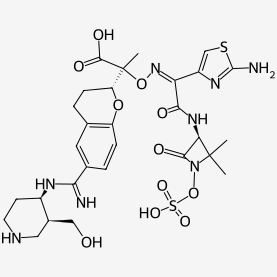 CC(O/N=C(\C(=O)N[C@@H]1C(=O)N(OS(=O)(=O)O)C1(C)C)c1csc(N)n1)(C(=O)O)[C@H]1CCc2cc(C(=N)N[C@@H]3CCNC[C@@H]3CO)ccc2O1